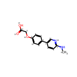 CNc1ccc(-c2ccc(OCC(=O)O)cc2)cn1